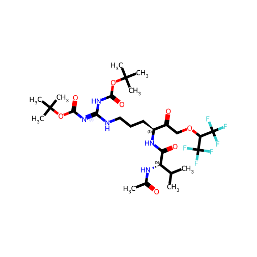 CC(=O)N[C@H](C(=O)N[C@@H](CCCN/C(=N/C(=O)OC(C)(C)C)NC(=O)OC(C)(C)C)C(=O)COC(C(F)(F)F)C(F)(F)F)C(C)C